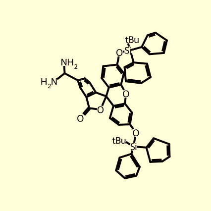 CC(C)(C)[Si](Oc1ccc2c(c1)Oc1cc(O[Si](c3ccccc3)(c3ccccc3)C(C)(C)C)ccc1C21OC(=O)c2cc(C(N)N)ccc21)(c1ccccc1)c1ccccc1